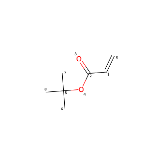 C=[C]C(=O)OC(C)(C)C